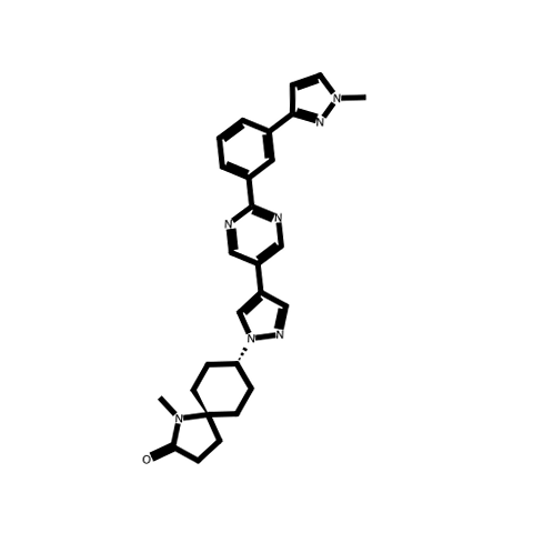 Cn1ccc(-c2cccc(-c3ncc(-c4cnn([C@H]5CC[C@]6(CCC(=O)N6C)CC5)c4)cn3)c2)n1